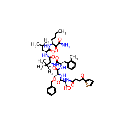 CCCC[C@H](NC(=O)[C@H](CC(C)C)NC(=O)[C@@H](NC(=O)[C@H](Cc1ccccc1C)NC(=O)[C@@H](COCc1ccccc1)NC(=O)[C@H](CO)NC(=O)CCC(=O)c1cccs1)C(C)(C)C)C(=O)C(N)=O